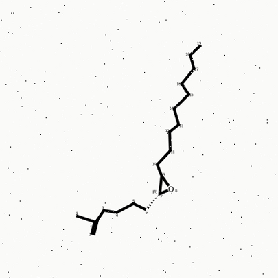 C=C(C)CCCC[C@H]1OC1CCCCCCCCCC